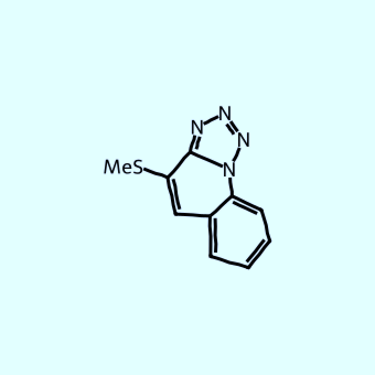 CSc1cc2ccccc2n2nnnc12